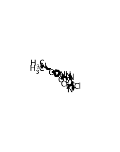 CN(C)CCCOc1ccc(NC(=O)c2nnc(Sc3c(Cl)cncc3Cl)s2)cc1